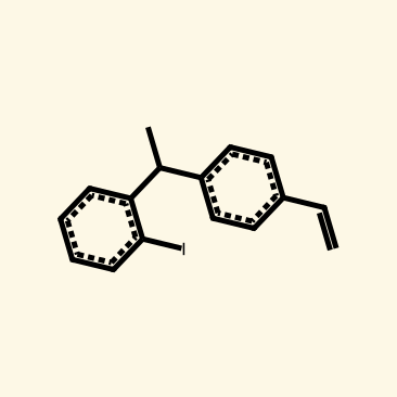 C=Cc1ccc(C(C)c2ccccc2I)cc1